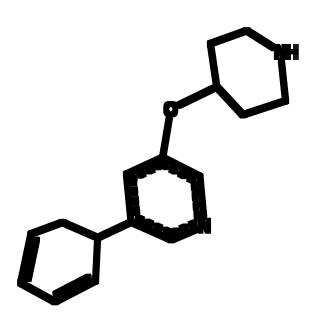 C1=CCC(c2cncc(OC3CCNCC3)c2)C=C1